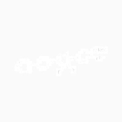 CCCCCCCC1(CCC)C=CC(c2ccc(-c3ccc(-c4ccccc4)cc3)c(F)c2F)=CC1